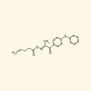 C=CCCC(=O)O/N=C(\C)C(=O)c1ccc(Sc2ccccc2)cc1